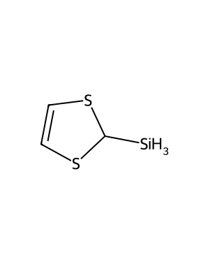 [SiH3]C1SC=CS1